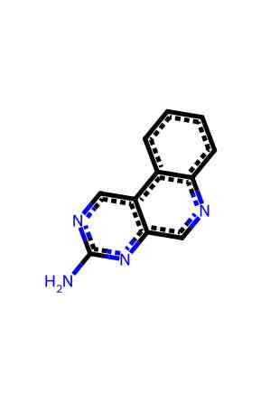 Nc1ncc2c(cnc3ccccc32)n1